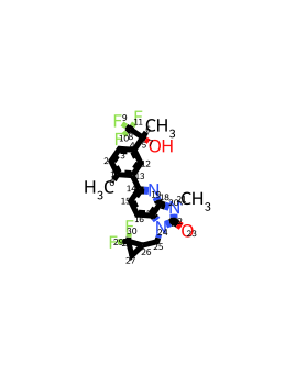 Cc1ccc(C(C)(O)C(F)(F)F)cc1-c1ccc2c(n1)n(C)c(=O)n2CC1CC1(F)F